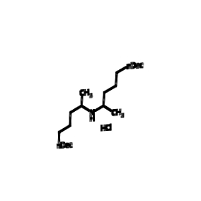 CCCCCCCCCCCCCC(C)NC(C)CCCCCCCCCCCCC.Cl